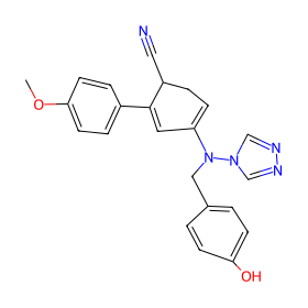 COc1ccc(C2=CC(N(Cc3ccc(O)cc3)n3cnnc3)=CCC2C#N)cc1